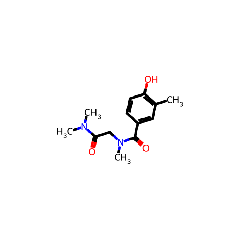 Cc1cc(C(=O)N(C)CC(=O)N(C)C)ccc1O